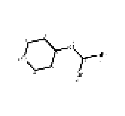 CCCC(Br)OC1CCOCC1